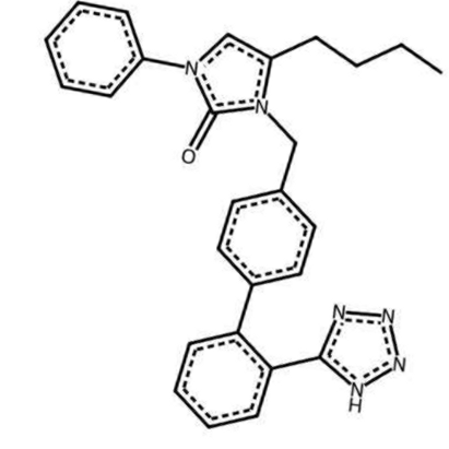 CCCCc1cn(-c2ccccc2)c(=O)n1Cc1ccc(-c2ccccc2-c2nnn[nH]2)cc1